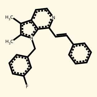 Cc1c(C)n(Cc2cccc(F)c2)c2c(/C=C/c3ccccc3)nccc12